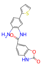 Nc1ccc(-c2cccs2)cc1NC(=O)c1ccc2[nH]c(=O)oc2c1